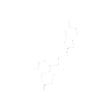 CCc1cc2c(cc1CC)CC(NC[C@H](O)c1ccc(O)c3[nH]c(=O)ccc13)C2.O=S(=O)(O)O